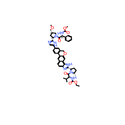 CCOC(=O)N[C@H](C(=O)N1[C@@H](C)CC[C@H]1c1nc2ccc3cc4c(cc3c2[nH]1)OCc1cc(-c2cnc([C@@H]3C[C@H](COC)CN3C(=O)[C@H](NC(=O)OC)c3ccccc3)[nH]2)ccc1-4)C(C)C